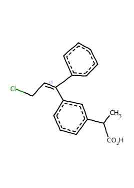 CC(C(=O)O)c1cccc(/C(=C\CCl)c2ccccc2)c1